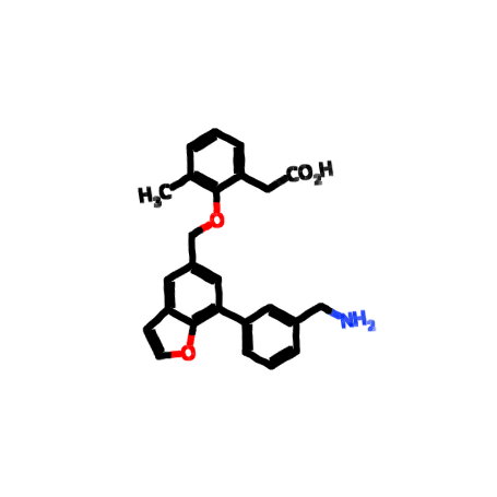 Cc1cccc(CC(=O)O)c1OCc1cc(-c2cccc(CN)c2)c2occc2c1